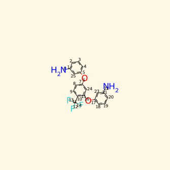 Nc1cccc(Oc2ccc(C(F)(F)F)c(Oc3cccc(N)c3)c2)c1